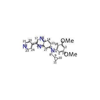 COc1cc(OC)cc(N(CC2CC2)c2ccc3ncc(-c4ccncc4)nc3c2)c1